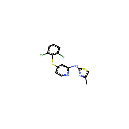 Cc1csc(Nc2cc(Sc3c(Cl)cccc3Cl)ccn2)n1